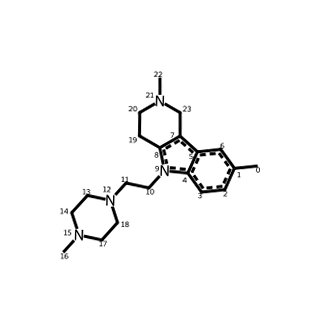 Cc1ccc2c(c1)c1c(n2CCN2CCN(C)CC2)CCN(C)C1